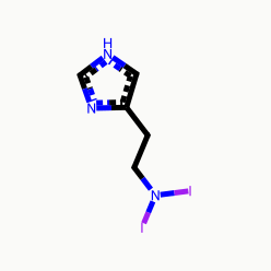 IN(I)CCc1c[nH]cn1